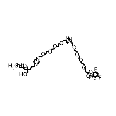 C=C(CCOCCOCCOCCOCCn1cc(COCCOCCOCCOCCN2CCN(CCCC(CO)(CO)CCCNC)CC2)nn1)Oc1c(F)cc(F)cc1F